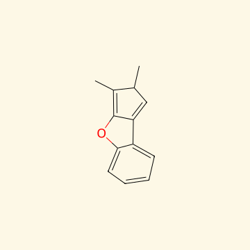 CC1=c2oc3ccccc3c2=CC1C